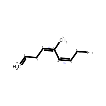 C=CC/C=C(C)\C=C/CF